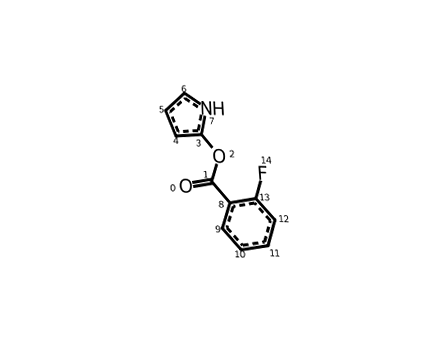 O=C(Oc1ccc[nH]1)c1ccccc1F